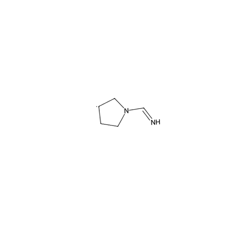 N=CN1C[CH]CC1